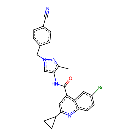 Cc1nn(Cc2ccc(C#N)cc2)cc1NC(=O)c1cc(C2CC2)nc2ccc(Br)cc12